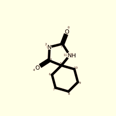 O=C1[N]C(=O)C2(CCCCC2)N1